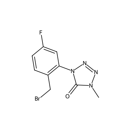 Cn1nnn(-c2cc(F)ccc2CBr)c1=O